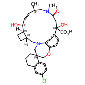 C[C@@H]1C=C[C@H](O)[C@@H]2CC[C@H]2CN2C[C@@]3(CCCc4cc(Cl)ccc43)COc3ccc(cc32)[C@](O)(C(=O)O)CC(=O)N(C)C1